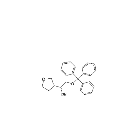 OC(COC(c1ccccc1)(c1ccccc1)c1ccccc1)C1CCOC1